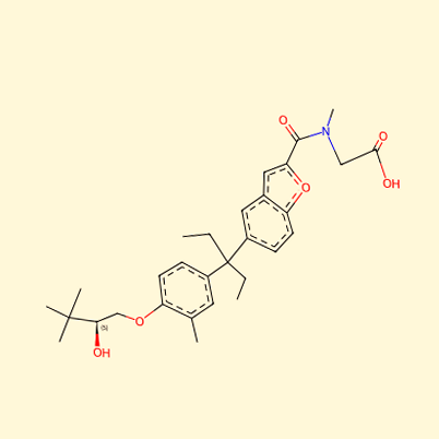 CCC(CC)(c1ccc(OC[C@@H](O)C(C)(C)C)c(C)c1)c1ccc2oc(C(=O)N(C)CC(=O)O)cc2c1